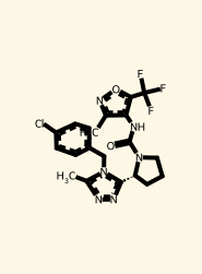 Cc1noc(C(F)(F)F)c1NC(=O)N1CCC[C@@H]1c1nnc(C)n1Cc1ccc(Cl)cc1